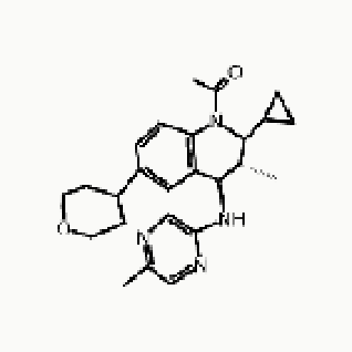 CC(=O)N1c2ccc(C3CCOCC3)cc2C(Nc2cnc(C)cn2)[C@@H](C)C1C1CC1